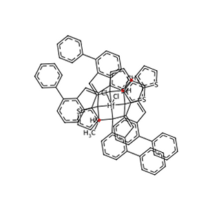 C[SiH]1[C]2(C(c3cccs3)=Cc3c(-c4ccccc4)cccc32)[Hf]2([Cl])([Cl])([C]13C(c1cccs1)=Cc1c(-c4ccccc4)cccc13)[C]1(C(c3cccs3)=Cc3c(-c4ccccc4)cccc31)[SiH](C)[C]21C(c2cccs2)=Cc2c(-c3ccccc3)cccc21